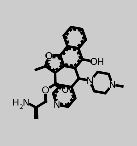 C=C(N)COC(=O)c1c(C)oc2c1c(C(c1ccncc1)N1CCN(C)CC1)c(O)c1ccccc12